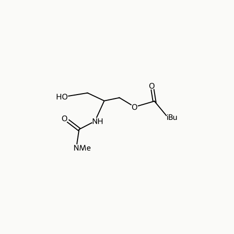 CCC(C)C(=O)OCC(CO)NC(=O)NC